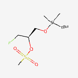 CC(C)(C)[Si](C)(C)OC[C@H](CF)OS(C)(=O)=O